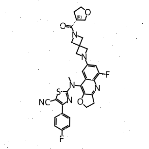 CN(c1nc(-c2ccc(F)cc2)c(C#N)s1)c1c2c(nc3c(F)cc(N4CC5(CN(C(=O)[C@@H]6CCOC6)C5)C4)cc13)CCO2